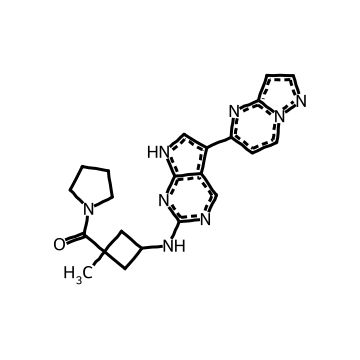 CC1(C(=O)N2CCCC2)CC(Nc2ncc3c(-c4ccn5nccc5n4)c[nH]c3n2)C1